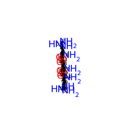 N=C(N)NCCC[C@@H](N)C(=O)OC(=O)CC[C@H](N)C(=O)OC(=O)[C@H](N)CCCNC(=N)N